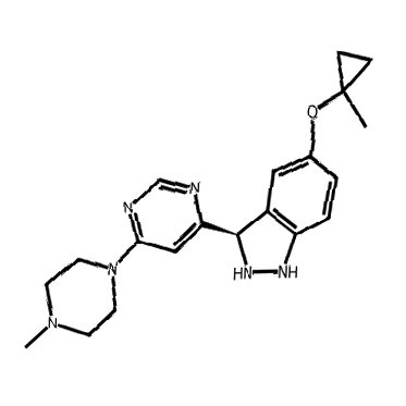 CN1CCN(c2cc([C@@H]3NNc4ccc(OC5(C)CC5)cc43)ncn2)CC1